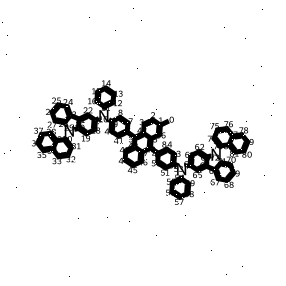 Cc1ccc2c(-c3ccc(N(c4ccccc4)c4ccc5c(c4)c4ccccc4n5-c4cccc5ccccc45)cc3)c3ccccc3c(-c3ccc(N(c4ccccc4)c4ccc5c(c4)c4ccccc4n5-c4cccc5ccccc45)cc3)c2c1